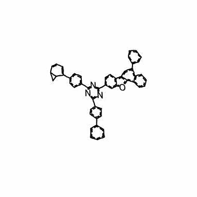 C1=CC2CC2C(c2ccc(-c3nc(-c4ccc(-c5ccccc5)cc4)nc(-c4ccc5c(c4)oc4c6ccccc6c(-c6ccccc6)cc54)n3)cc2)=C1